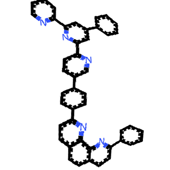 c1ccc(-c2cc(-c3ccccn3)nc(-c3ccc(-c4ccc(-c5ccc6ccc7ccc(-c8ccccc8)nc7c6n5)cc4)cn3)c2)cc1